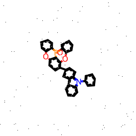 O=P12c3ccccc3Oc3ccc(-c4ccc5c(c4)c4ccccc4n5-c4ccccc4)c(c31)Oc1ccccc12